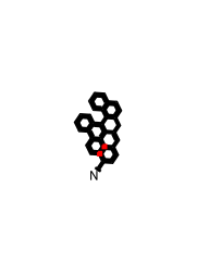 N#Cc1ccc(/C=C2/Cc3ccc4ccccc4c3-c3c2c2ccccc2c2ccccc32)cc1